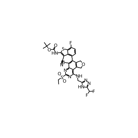 CCS(=O)(=O)c1nc(NCc2nnc(C(F)F)[nH]2)c2c3c(c(-c4ccc(F)c5sc(NC(=O)OC(C)(C)C)c(C#N)c45)c(Cl)c2n1)COC3